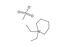 CC[N+]1(CC)CCCCC1.CS(=O)(=O)[O-]